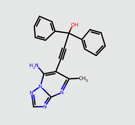 Cc1nc2ncnn2c(N)c1C#CC(O)(c1ccccc1)c1ccccc1